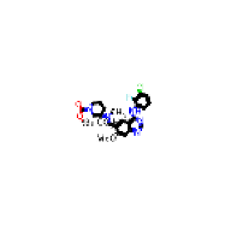 COc1cc2ncnc(Nc3cccc(Cl)c3F)c2cc1CN(C)C1(C(=O)O)CCCN(C(=O)OC(C)(C)C)C1